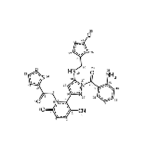 N#Cc1ccc(=O)n(CC(=O)c2cccs2)c1-c1cc(NCc2ccc(Cl)s2)n(C(=O)c2ccccc2N)n1